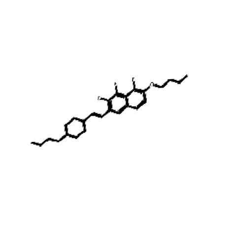 CCCCOc1ccc2cc(/C=C/C3CCC(CCCC)CC3)c(F)c(F)c2c1F